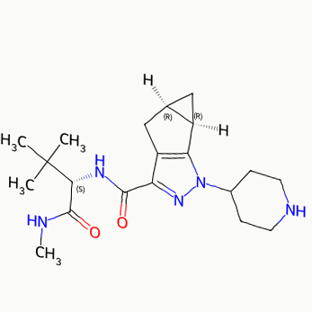 CNC(=O)[C@@H](NC(=O)c1nn(C2CCNCC2)c2c1C[C@H]1C[C@@H]21)C(C)(C)C